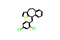 Clc1ccc(/C=C2/c3ccccc3CCc3ccsc32)c(Cl)c1